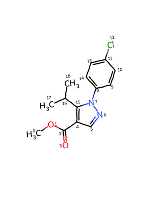 COC(=O)c1cnn(-c2ccc(Cl)cc2)c1C(C)C